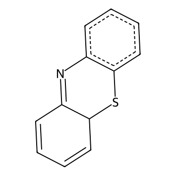 C1=CC2=Nc3ccccc3SC2C=C1